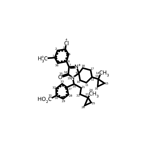 Cc1cc(Cl)cc(C2=NC3(CCC(C4(C)CC4)CC3)N(C(CCC3(C)CC3)c3ccc(C(=O)O)cc3)C2=O)c1